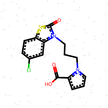 O=C(O)c1cccn1CCCn1c(=O)sc2ccc(Cl)cc21